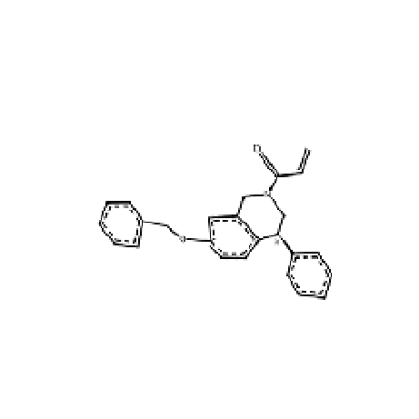 C=CC(=O)N1Cc2cc(OCc3ccccc3)ccc2[C@H](c2ccccc2)C1